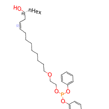 CCCCCC[C@@H](O)C/C=C\CCCCCCCCOCCOP(Oc1ccccc1)Oc1ccccc1